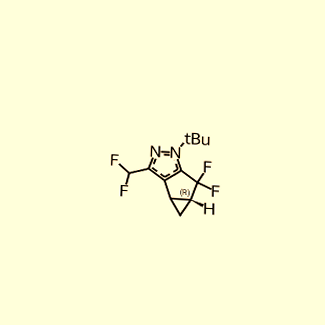 CC(C)(C)n1nc(C(F)F)c2c1C(F)(F)[C@@H]1CC21